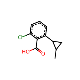 CC1CC1c1cccc(Cl)c1C(=O)O